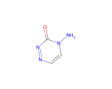 Nn1ccnnc1=O